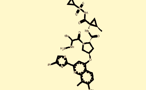 BNC(C(=O)N1C[C@H](Oc2cc(-c3nc(C(C)C)cs3)nc3c(C)c(OC)ccc23)C[C@H]1C(=O)N[C@]1(C(=O)NS(=O)(=O)C2CC2)C[C@H]1C)C(C)(C)C